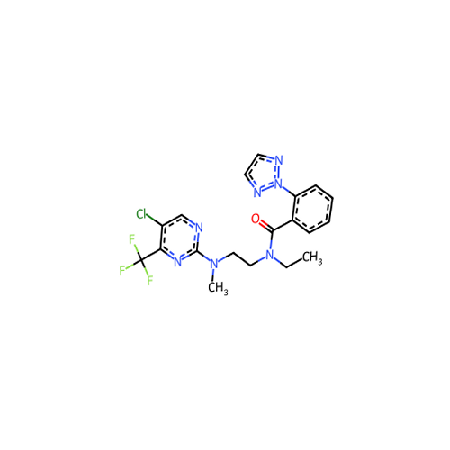 CCN(CCN(C)c1ncc(Cl)c(C(F)(F)F)n1)C(=O)c1ccccc1-n1nccn1